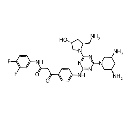 NC[C@@H]1C[C@@H](O)CN1c1nc(Nc2ccc(C(=O)CC(=O)Nc3ccc(F)c(F)c3)cc2)nc(N2C[C@H](N)C[C@H](N)C2)n1